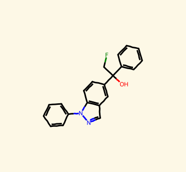 OC(CF)(c1ccccc1)c1ccc2c(cnn2-c2ccccc2)c1